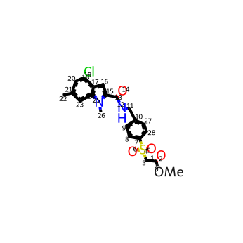 COC(=O)CS(=O)(=O)c1ccc(CNC(=O)c2cc3c(Cl)cc(C)cc3n2C)cc1